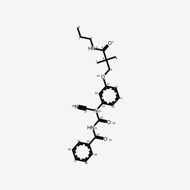 CCCNC(=O)C(C)(C)COc1cccc(N(C#N)C(=O)NC(=O)c2ccccc2)c1